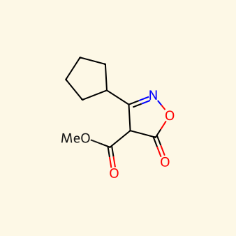 COC(=O)C1C(=O)ON=C1C1CCCC1